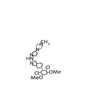 COc1cc(OC)c(Cl)c(-c2ccc3cc(Nc4ccc(N5CCN(C)CC5)cn4)ncc3c2)c1Cl